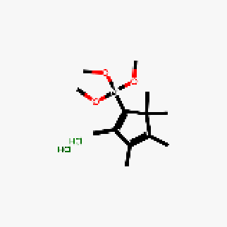 C[O][Zr]([O]C)([O]C)[C]1=C(C)C(C)=C(C)C1(C)C.Cl.Cl